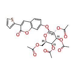 CC(=O)OC[C@H]1O[C@@H](Oc2ccc3cc(-c4cccs4)c(=O)oc3c2)[C@H](OC(C)=O)[C@@H](OC(C)=O)[C@H]1OC(C)=O